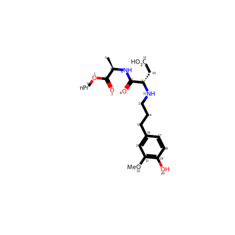 CCCOC(=O)[C@@H](C)NC(=O)[C@H](CC(=O)O)NCCCc1ccc(O)c(OC)c1